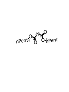 CCCCCOC(=O)[N]C(=O)OCCCCC